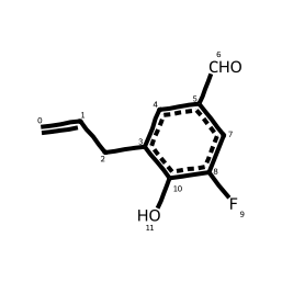 C=CCc1cc(C=O)cc(F)c1O